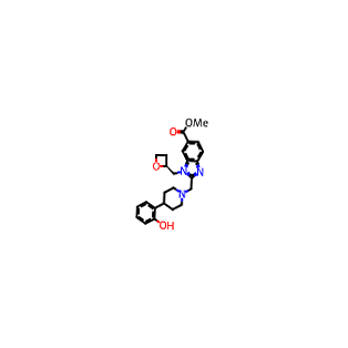 COC(=O)c1ccc2nc(CN3CCC(c4ccccc4O)CC3)n(C[C@@H]3CCO3)c2c1